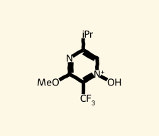 COc1nc(C(C)C)c[n+](O)c1C(F)(F)F